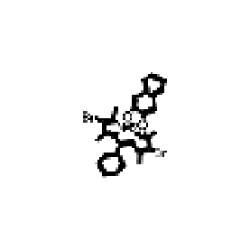 CC1=C(Br)C(C)=[N+]2C1=C(c1ccccc1)c1c(C)c(Br)c(C)n1[B-]21Oc2cc3ccccc3cc2O1